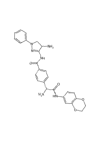 NC1CN(c2ccccc2)N=C1NC(=O)c1ccc(C(N)C(=O)Nc2ccc3c(c2)OCCO3)cc1